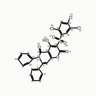 O=c1oc2cc(-c3ccccc3)n(-c3ccccc3)c(=O)c2c(O)c1S(=O)(=O)c1cc(Cl)c(Cl)cc1Cl